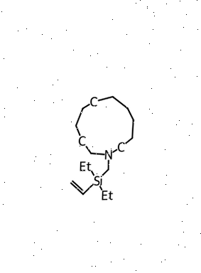 C=C[Si](CC)(CC)CN1CCCCCCCCCC1